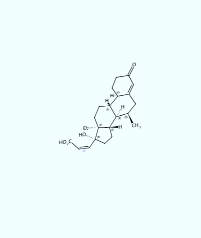 CC[C@]12CC[C@H]3[C@@H]([C@H](C)CC4=CC(=O)CC[C@@H]43)[C@@H]1CC[C@@]2(O)/C=C\C(=O)O